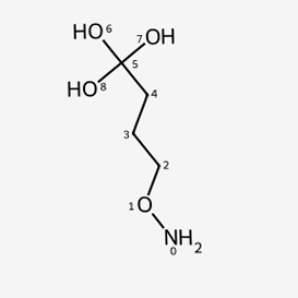 NOCCCC(O)(O)O